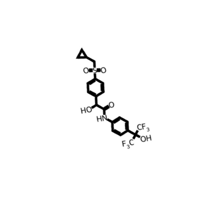 O=C(Nc1ccc(C(O)(C(F)(F)F)C(F)(F)F)cc1)C(O)c1ccc(S(=O)(=O)CC2CC2)cc1